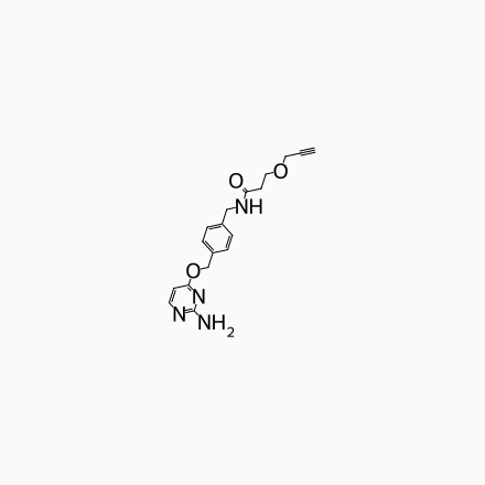 C#CCOCCC(=O)NCc1ccc(COc2ccnc(N)n2)cc1